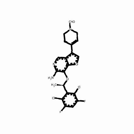 C[C@@H](Oc1c(N)ncc2c(C3=CCN(C=O)CC3)coc12)c1c(Cl)c(F)cc(F)c1Cl